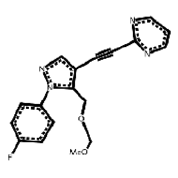 COCOCc1c(C#Cc2ncccn2)cnn1-c1ccc(F)cc1